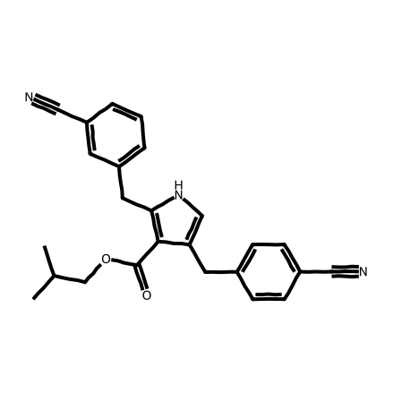 CC(C)COC(=O)c1c(Cc2ccc(C#N)cc2)c[nH]c1Cc1cccc(C#N)c1